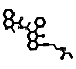 C=CC(=O)NCCC#Cc1cccc2cc([C@H](C)NC(=O)c3c(C)ncc4cccnc34)n(-c3ccccc3)c(=O)c12